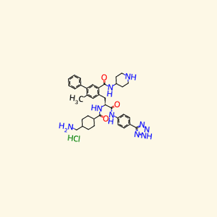 Cc1cc(C[C@H](NC(=O)C2CCC(CN)CC2)C(=O)Nc2ccc(-c3nn[nH]n3)cc2)c(C(=O)NC2CCNCC2)cc1-c1ccccc1.Cl